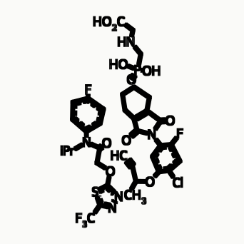 C#CC(C)Oc1cc(N2C(=O)C3=C(CCCC3)C2=O)c(F)cc1Cl.CC(C)N(C(=O)COc1nnc(C(F)(F)F)s1)c1ccc(F)cc1.O=C(O)CNCP(=O)(O)O